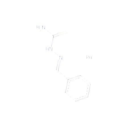 NC(=S)NN=Cc1ccccc1.[Ru]